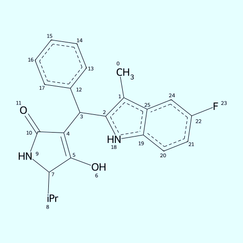 Cc1c(C(C2=C(O)C(C(C)C)NC2=O)c2ccccc2)[nH]c2ccc(F)cc12